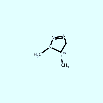 C[C@H]1CN=NN1C